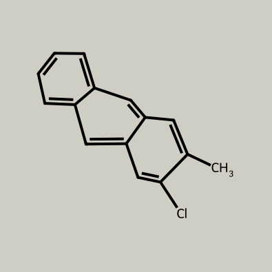 Cc1cc2cc3ccccc3cc2cc1Cl